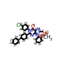 CS(=O)(=O)Cc1nc2c(=O)n(-c3ccc(Cl)cc3)c(-c3ccc(-c4ccccc4)cc3)nc2n1-c1ccccc1